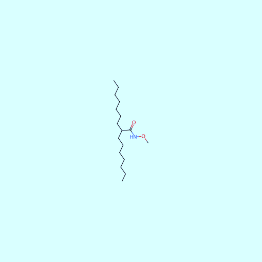 CCCCCCCC(CCCCCCC)C(=O)NOC